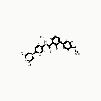 Cc1c(C(=O)Nc2ccc(N3C[C@@H](C)O[C@@H](C)C3)nc2)cccc1-c1ccc(OC(F)(F)F)cc1.Cl